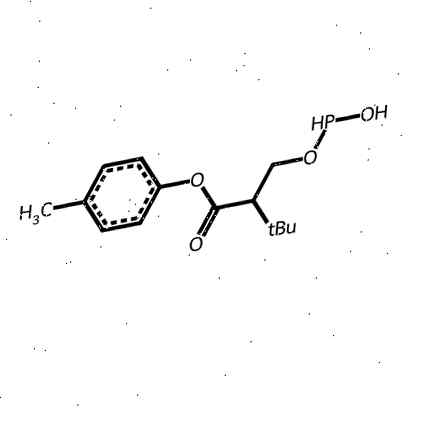 Cc1ccc(OC(=O)C(COPO)C(C)(C)C)cc1